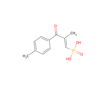 CC(=CP(=O)(O)O)C(=O)c1ccc(C)cc1